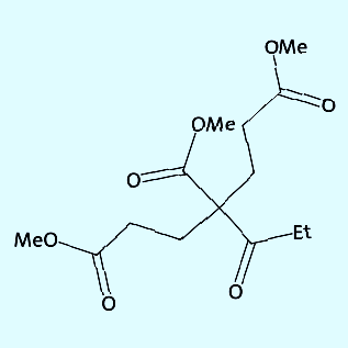 CCC(=O)C(CCC(=O)OC)(CCC(=O)OC)C(=O)OC